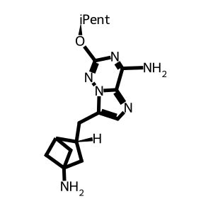 CCC[C@H](C)Oc1nc(N)c2ncc(C[C@@H]3CC4(N)CC3C4)n2n1